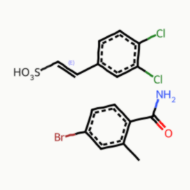 Cc1cc(Br)ccc1C(N)=O.O=S(=O)(O)/C=C/c1ccc(Cl)c(Cl)c1